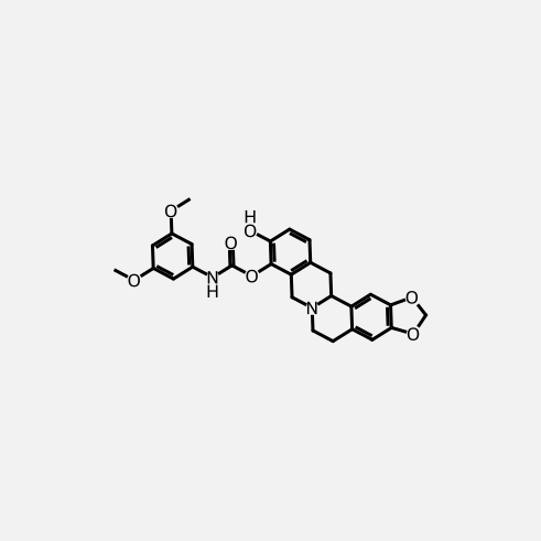 COc1cc(NC(=O)Oc2c(O)ccc3c2CN2CCc4cc5c(cc4C2C3)OCO5)cc(OC)c1